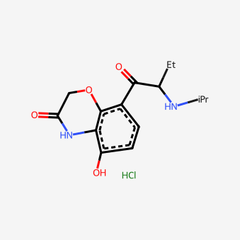 CCC(NC(C)C)C(=O)c1ccc(O)c2c1OCC(=O)N2.Cl